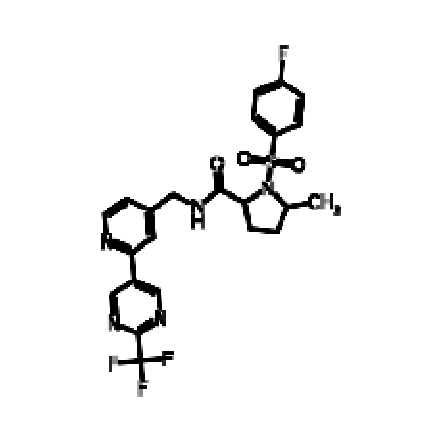 CC1CCC(C(=O)NCc2ccnc(-c3cnc(C(F)(F)F)nc3)c2)N1S(=O)(=O)c1ccc(F)cc1